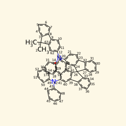 CC1(C)c2ccccc2-c2ccc(N(c3ccccc3)c3ccc4c(c3)C3(c5ccccc5-4)c4ccccc4-c4cc(N(c5ccccc5)c5ccccc5)c5ccccc5c43)cc21